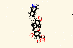 C[C@]12C=CC3=CC4=C(CC(C(=O)O)CC4=O)O[C@H]3[C@@H]1CC(=O)[C@@H]2c1ccc2cnccc2c1